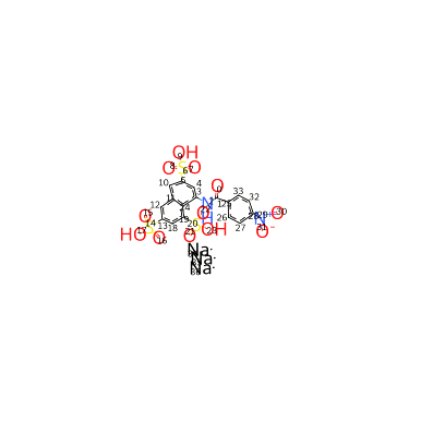 O=C(Nc1cc(S(=O)(=O)O)cc2cc(S(=O)(=O)O)cc(S(=O)(=O)O)c12)c1ccc([N+](=O)[O-])cc1.[Na].[Na].[Na]